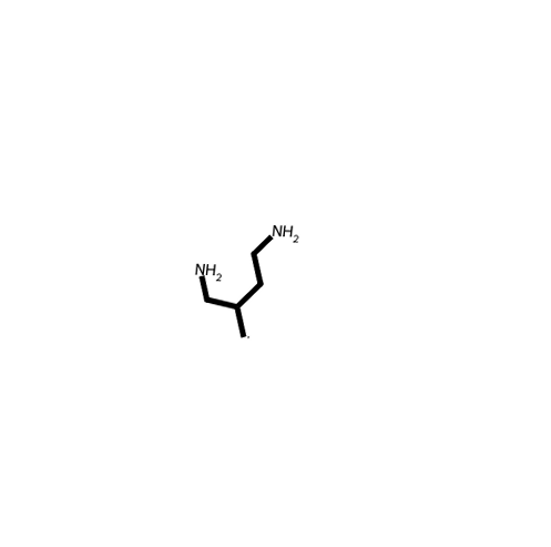 [CH2]C(CN)CCN